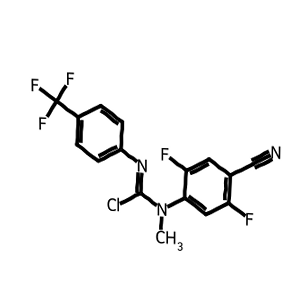 CN(C(Cl)=Nc1ccc(C(F)(F)F)cc1)c1cc(F)c(C#N)cc1F